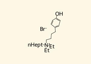 CCCCCCC[N+](CC)(CC)CCCCc1ccc(O)cc1.[Br-]